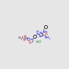 CS(=O)(=O)NCC1CN(c2ccc(Nc3ncc(C(N)=O)c(NCc4ccccc4)n3)cc2)CCO1.Cl